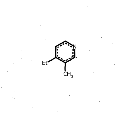 CCc1ccn[c]c1C